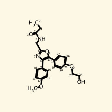 CCC(=O)NCc1nc(-c2ccc(OC)cc2)c(-c2ccc(OCCO)cc2)o1